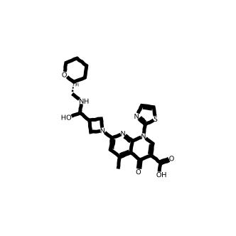 Cc1cc(N2CC(C(O)NC[C@H]3CCCCO3)C2)nc2c1c(=O)c(C(=O)O)cn2-c1nccs1